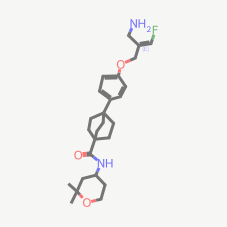 CC1(C)CC(NC(=O)C23CCC(c4ccc(OC/C(=C/F)CN)cc4)(CC2)CC3)CCO1